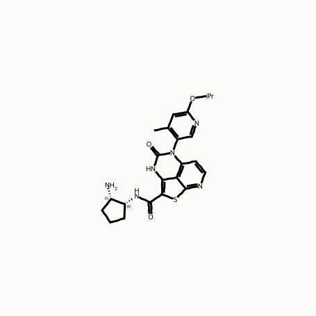 Cc1cc(OC(C)C)ncc1N1C(=O)Nc2c(C(=O)N[C@@H]3CCC[C@@H]3N)sc3nccc1c23